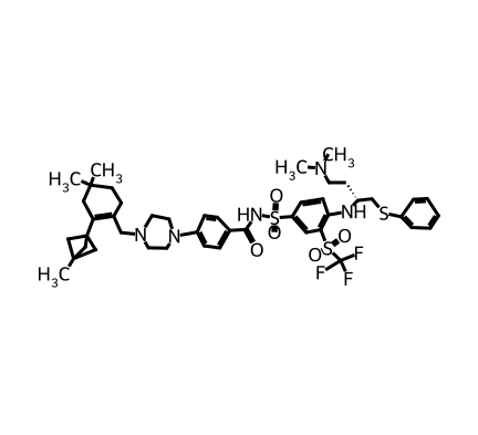 CN(C)CC[C@H](CSc1ccccc1)Nc1ccc(S(=O)(=O)NC(=O)c2ccc(N3CCN(CC4=C(C56CC(C)(C5)C6)CC(C)(C)CC4)CC3)cc2)cc1S(=O)(=O)C(F)(F)F